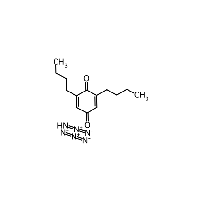 CCCCC1=CC(=O)C=C(CCCC)C1=O.[N-]=[N+]=N.[N-]=[N+]=[N-]